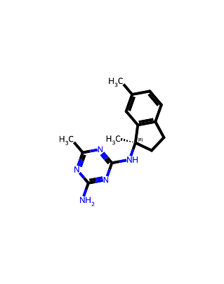 Cc1ccc2c(c1)[C@](C)(Nc1nc(C)nc(N)n1)CC2